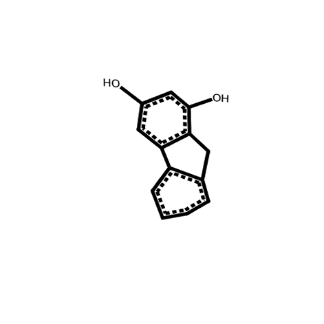 Oc1cc(O)c2c(c1)-c1ccccc1C2